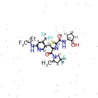 CCC(Nc1cc(C(F)F)c(-c2sc(C(=O)N[C@@H]3CCC[C@H]3O)nc2C(=O)N2CC(F)(F)C[C@@H]2C)cn1)C(F)(F)F